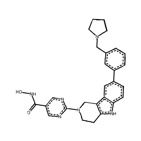 O=C(NO)c1cnc(N2CCc3[nH]c4ccc(-c5cccc(CN6CCCC6)c5)cc4c3C2)nc1